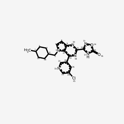 CC1CCC(Cn2ccc3nc(-c4noc(=O)[nH]4)nc(-c4cncc(Cl)c4)c32)CC1